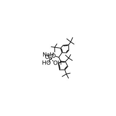 CC(C)(C)c1ccc(C(OP(=O)(O)O)c2ccc(C(C)(C)C)cc2C(C)(C)C)c(C(C)(C)C)c1.[NaH]